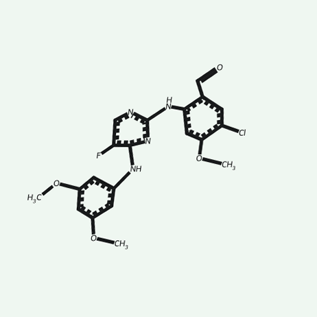 COc1cc(Nc2nc(Nc3cc(OC)c(Cl)cc3C=O)ncc2F)cc(OC)c1